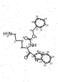 NCCCCC(NC(=O)OCc1ccccc1)C(=O)c1nc2ccccc2s1